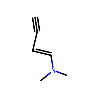 C#CC=CN(C)C